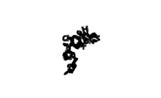 Cc1ccc(CN2CC[C@H](N(C)c3cc(F)c(S(=O)(=O)Nc4cscn4)cc3Cl)C2)s1